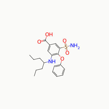 CCCC(CCC)Nc1cc(C(=O)O)cc(S(N)(=O)=O)c1Oc1ccccc1